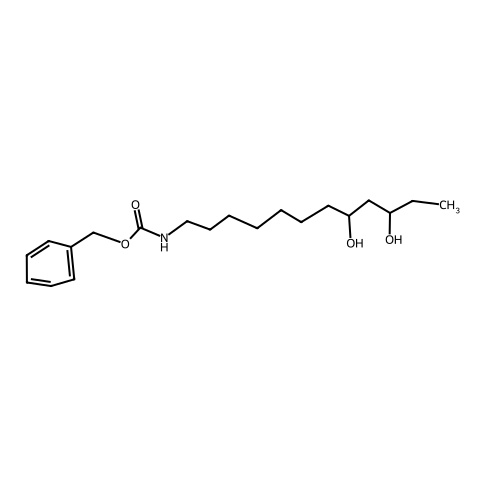 CCC(O)CC(O)CCCCCCCNC(=O)OCc1ccccc1